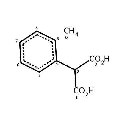 C.O=C(O)C(C(=O)O)c1ccccc1